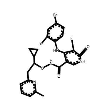 Cc1cccc(CC(ONC(=O)c2c[nH]c(=O)c(F)c2Nc2ccc(Br)cc2F)C2CC2)n1